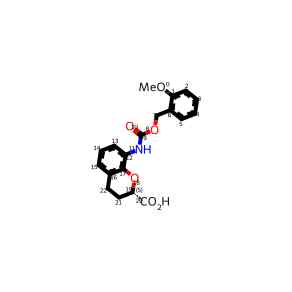 COc1ccccc1COC(=O)Nc1cccc2c1O[C@H](C(=O)O)CC2